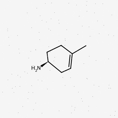 CC1=CC[C@@H](N)CC1